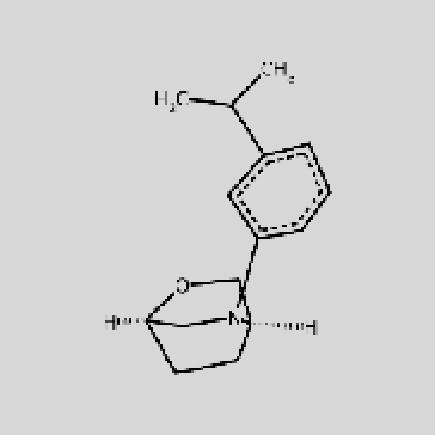 CC(C)c1cccc(N2C[C@H]3CC[C@@H]2CO3)c1